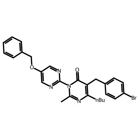 CCCCc1nc(C)n(-c2ncc(OCc3ccccc3)cn2)c(=O)c1Cc1ccc(Br)cc1